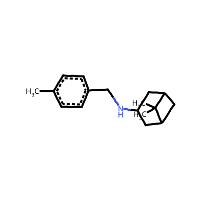 Cc1ccc(CNC2CC3CC(C2)C3(C)C)cc1